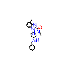 CCN(C(=O)c1nc2c(C)cccc2[nH]1)[C@H]1CCC[C@@H](NCc2ccccc2)C1